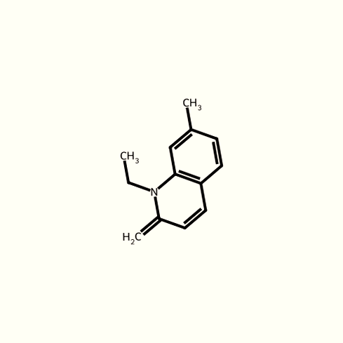 C=C1C=Cc2ccc(C)cc2N1CC